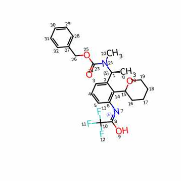 C[C@@H](c1cccc(/N=C(/O)C(F)(F)F)c1C1CCCCO1)N(C)C(=O)OCc1ccccc1